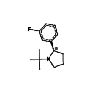 CC(C)(C)N1CCC[C@@H]1c1cccc(F)c1